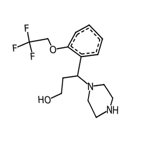 OCCC(c1ccccc1OCC(F)(F)F)N1CCNCC1